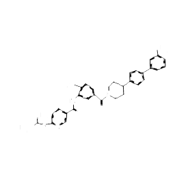 Cc1cccc(-c2ccc(C3CCN(C(=O)c4ccc(C)c(NC(=O)c5ccc(NC(C)C)nc5)c4)CC3)cc2)c1